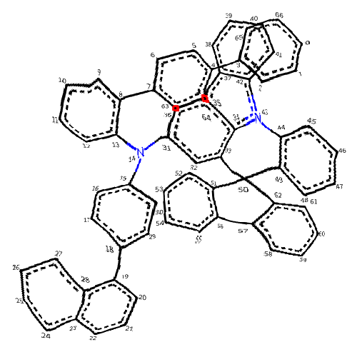 c1ccc(-c2ccc(-c3ccccc3N(c3ccc(-c4cccc5ccccc45)cc3)c3cc4c5c(c3)c3ccccc3n5-c3ccccc3C43c4ccccc4-c4ccccc43)cc2)cc1